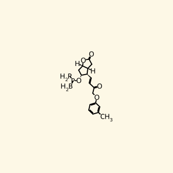 BP(P)O[C@@H]1C[C@@H]2OC(=O)C[C@@H]2[C@H]1/C=C/C(=O)COc1cccc(C)c1